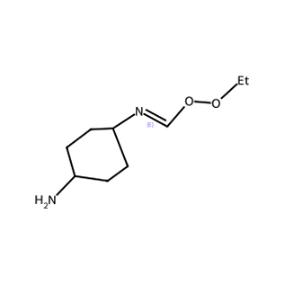 CCOO/C=N/C1CCC(N)CC1